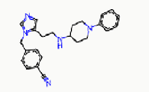 N#Cc1ccc(Cn2cncc2CCNC2CCN(c3ccccc3)CC2)cc1